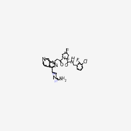 N/C=N\C=C\c1nn(CC(=O)N2C[C@H](F)C[C@H]2C(=O)NCc2cccc(Cl)c2F)c2cnccc12